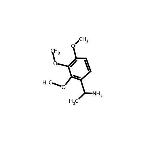 COc1ccc(C(C)N)c(OC)c1OC